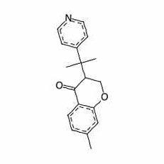 Cc1ccc2c(c1)OCC(C(C)(C)c1ccncc1)C2=O